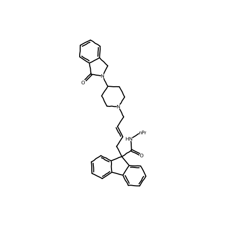 CCCNC(=O)C1(CC=CCN2CCC(N3Cc4ccccc4C3=O)CC2)c2ccccc2-c2ccccc21